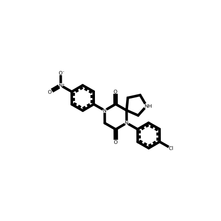 O=C1CN(c2ccc([N+](=O)[O-])cc2)C(=O)C2(CCNC2)N1c1ccc(Cl)cc1